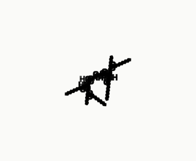 CCCCCCCCCCCC(=O)CC(=O)NC(COCCC(CCCCCCC)OC(=O)CCCCCCCCCCC)COP(=O)(O)OCCNC(=O)NCCOP(=O)(O)OCC(COCCC(CCCCCCC)OC(=O)CCCCCCCCCCC)NC(=O)CC(=O)CCCCCCCCCCC